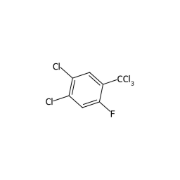 Fc1cc(Cl)c(Cl)cc1C(Cl)(Cl)Cl